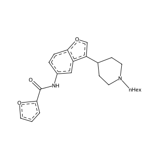 CCCCCCN1CCC(c2coc3ccc(NC(=O)c4ccco4)cc23)CC1